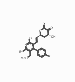 COCc1c(C(C)C)nc(C(C)C)c(/C=C/[C@@H]2C[C@@H](O)C(=O)C(=O)O2)c1-c1ccc(F)cc1